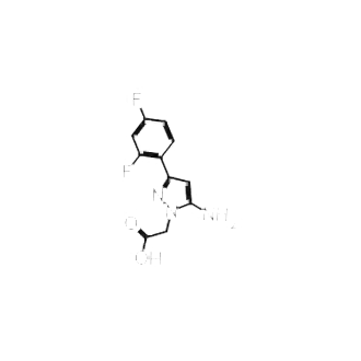 Nc1cc(-c2ccc(F)cc2F)nn1CC(=O)O